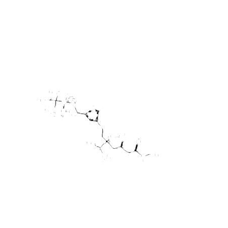 COC(=O)CC(=O)CC(O)(CCc1csc(CO[Si](C)(C)C(C)(C)C)c1)C(C)C